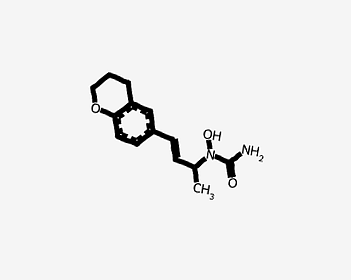 CC(C=Cc1ccc2c(c1)CCCO2)N(O)C(N)=O